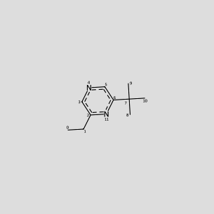 CCc1cncc(C(C)(C)C)n1